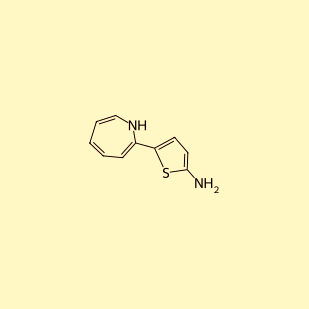 Nc1ccc(C2=CC=CC=CN2)s1